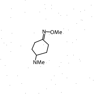 CNC1CCC(=NOC)CC1